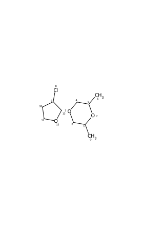 CC1COCC(C)O1.ClC1CCOC1